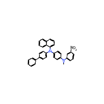 CN(c1ccc(N(c2ccc(-c3ccccc3)cc2)c2cccc3ccccc23)cc1)c1cccc([N+](=O)[O-])c1